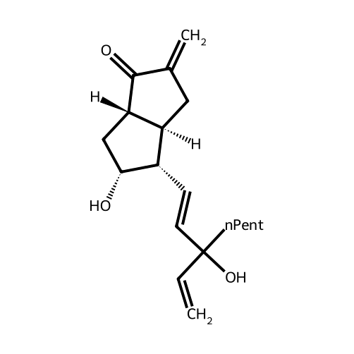 C=CC(O)(/C=C/[C@H]1[C@@H]2CC(=C)C(=O)[C@H]2C[C@H]1O)CCCCC